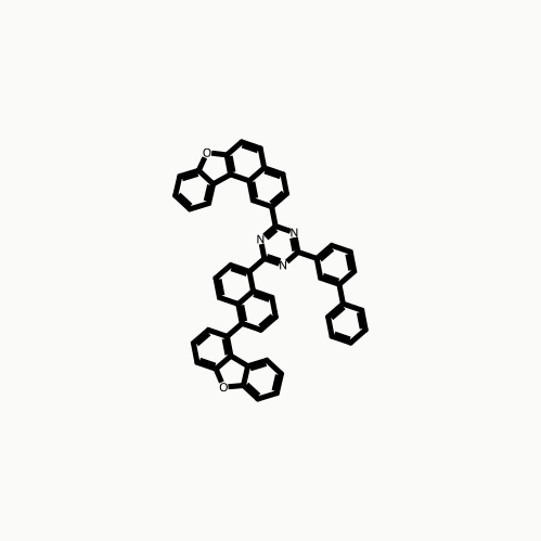 c1ccc(-c2cccc(-c3nc(-c4ccc5ccc6oc7ccccc7c6c5c4)nc(-c4cccc5c(-c6cccc7oc8ccccc8c67)cccc45)n3)c2)cc1